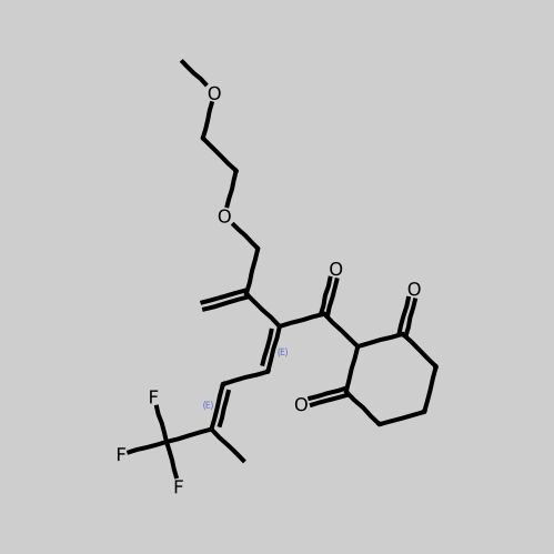 C=C(COCCOC)/C(=C\C=C(/C)C(F)(F)F)C(=O)C1C(=O)CCCC1=O